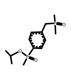 CC(C)OP(C)(=O)c1ccc(CP(C)(C)=O)cc1